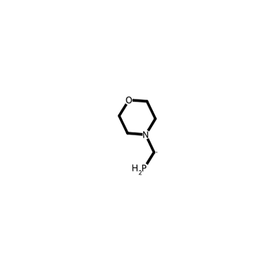 P[CH]N1CCOCC1